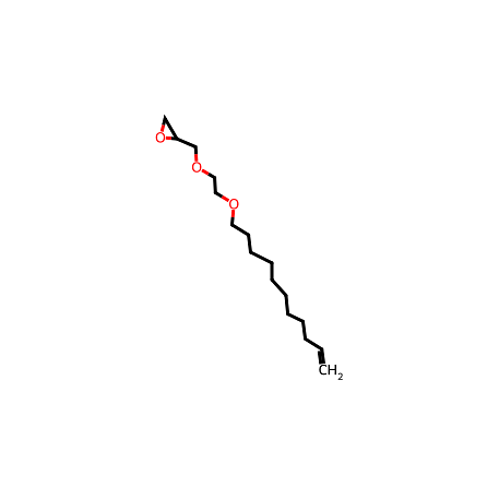 C=CCCCCCCCCCOCCOCC1CO1